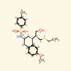 CCSC[C@H](CO)[C@@H]1C[C@H](NS(=O)(=O)c2ccc(C)cc2)Cc2ccc(OC)cc21